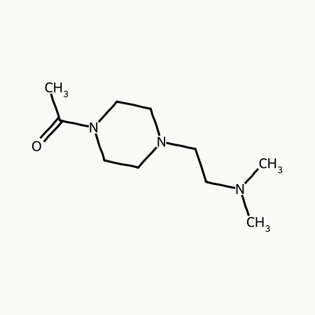 CC(=O)N1CCN(CCN(C)C)CC1